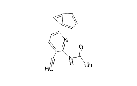 C#Cc1cccnc1NC(=O)CCC.c1cc2cc-2c1